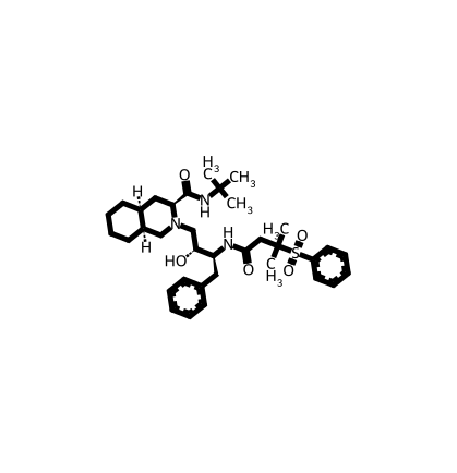 CC(C)(C)NC(=O)[C@@H]1C[C@@H]2CCCC[C@@H]2CN1C[C@@H](O)[C@H](Cc1ccccc1)NC(=O)CC(C)(C)S(=O)(=O)c1ccccc1